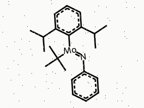 CC(C)c1cccc(C(C)C)[c]1[Mo](=[N]c1ccccc1)[C](C)(C)C